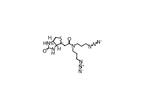 [N-]=[N+]=NCCCN(CCCN=[N+]=[N-])C(=O)C[C@@H]1SC[C@@H]2NC(=O)N[C@@H]21